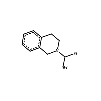 CCCC(CC)N1CCc2ccccc2C1